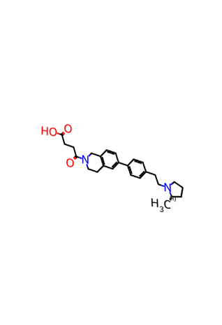 C[C@@H]1CCCN1CCc1ccc(-c2ccc3c(c2)CCN(C(=O)CCC(=O)O)C3)cc1